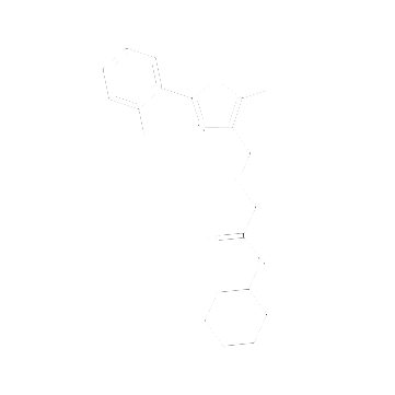 Cc1oc(-c2ccccc2Cl)nc1CSCC(=O)NC1CCCCC1